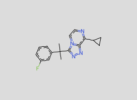 CC(C)(c1cccc(F)c1)c1nnc2c(C3CC3)nccn12